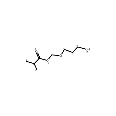 CC(C)C(=O)OCOCCCO